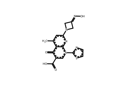 Cc1cc(N2CC(=NO)C2)nc2c1c(=O)c(C(=O)O)cn2-c1nccs1